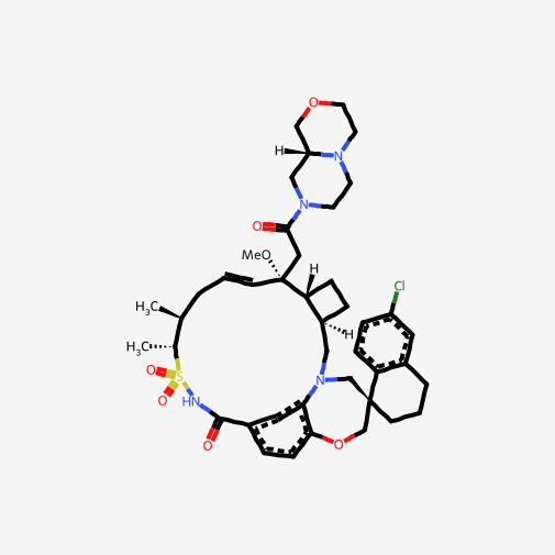 CO[C@@]1(CC(=O)N2CCN3CCOC[C@H]3C2)/C=C/C[C@H](C)[C@@H](C)S(=O)(=O)NC(=O)c2ccc3c(c2)N(C[C@@H]2CC[C@H]21)C[C@@]1(CCCc2cc(Cl)ccc21)CO3